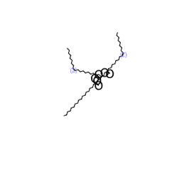 CCCCCCCC/C=C\CCCCCCCC(=O)OCC(COC(=O)CCCCCCCCCCCCCCCCC)OC(=O)CCCCCCC/C=C\CCCCCCCC